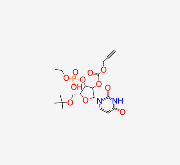 C#CCOC(=O)OC1C(OP(=O)(O)OCC)[C@@H](COC(C)(C)C)O[C@H]1n1ccc(=O)[nH]c1=O